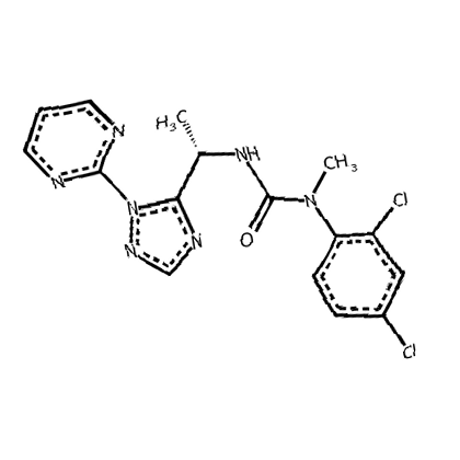 C[C@H](NC(=O)N(C)c1ccc(Cl)cc1Cl)c1ncnn1-c1ncccn1